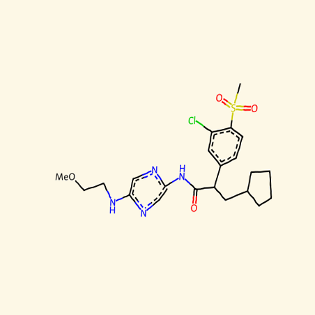 COCCNc1cnc(NC(=O)C(CC2CCCC2)c2ccc(S(C)(=O)=O)c(Cl)c2)cn1